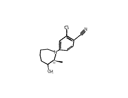 C[C@H]1C(O)CCCN1c1ccc(C#N)c(Cl)c1